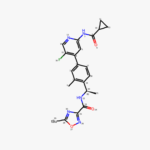 Cc1cc(-c2cc(NC(=O)C3CC3)ncc2F)ccc1[C@@H](C)NC(=O)c1noc(C(C)(C)C)n1